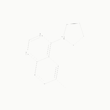 Cc1ccc2ncnc(N3CCCC3)c2c1